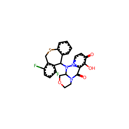 O=C1c2c(O)c(=O)ccn2N(C2c3ccccc3SCc3c(F)ccc(F)c32)C2COCCN12